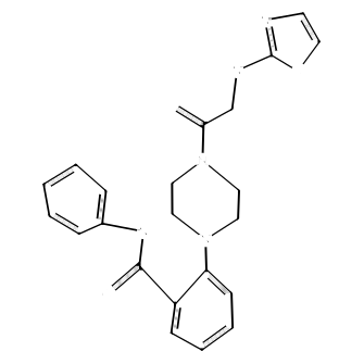 O=C(Nc1ccccc1)c1ccccc1N1CCN(C(=O)CNc2nccs2)CC1